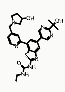 CCNC(=O)Nc1nc2cc(-c3cnc(C(C)(C)O)nc3)cc(-c3cc(CN4CCC(O)C4)ccn3)c2s1